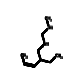 CBCNCC(/C=C\C)CC